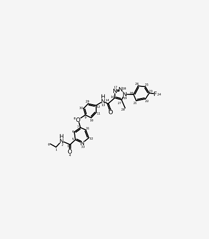 CCNC(=O)c1cc(Oc2ccc(NC(=O)c3nnn(-c4ccc(F)cc4)c3C)cc2)ccn1